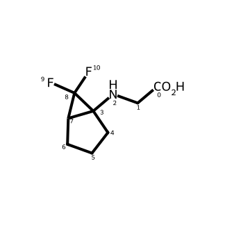 O=C(O)CNC12CCCC1C2(F)F